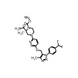 Cc1nnn(-c2ccc(C(F)F)cc2)c1COc1ccc(N2CCN(C(=O)OC(C)(C)C)[C@](C)(C(N)=O)C2)nn1